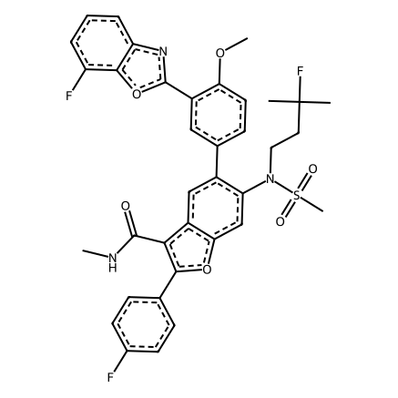 CNC(=O)c1c(-c2ccc(F)cc2)oc2cc(N(CCC(C)(C)F)S(C)(=O)=O)c(-c3ccc(OC)c(-c4nc5cccc(F)c5o4)c3)cc12